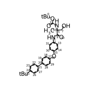 CC(C)(C)OC(=O)N[C@@](C)(CO)C(=O)Nc1ccc(Oc2ccc(-c3ccc(C(C)(C)C)cc3)cc2)cc1